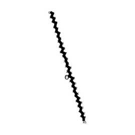 CCCCCCCCCCCCCCCCCCCCCCCCCCC(=O)CCCCCCCCCCCCCCCCCC